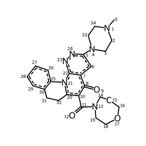 CN1CCN(c2cc3c(=O)c(C(=O)N4CCCOCC4)c4n(c3nn2)-c2ccccc2CC4)CC1